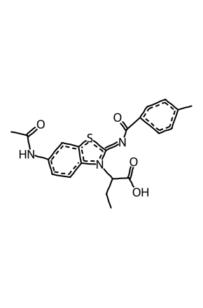 CCC(C(=O)O)n1c(=NC(=O)c2ccc(C)cc2)sc2cc(NC(C)=O)ccc21